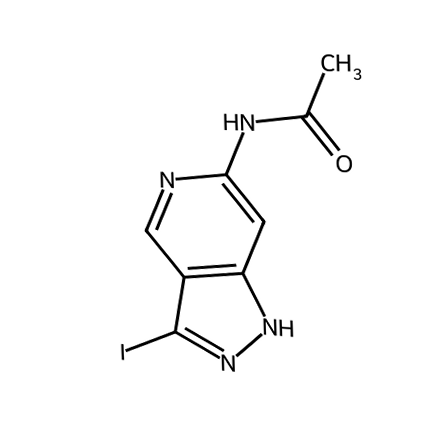 CC(=O)Nc1cc2[nH]nc(I)c2cn1